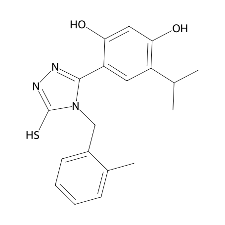 Cc1ccccc1Cn1c(S)nnc1-c1cc(C(C)C)c(O)cc1O